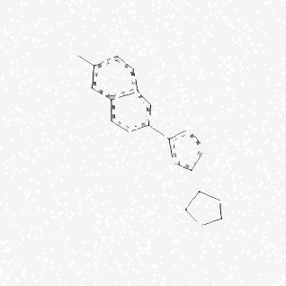 Oc1ccc2cc(-c3noc([C@@H]4CCNC4)n3)ccc2c1